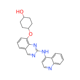 OC1CCC(Oc2cccc3cnc(Nc4ccnc5ccccc45)nc23)CC1